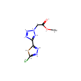 CC(C)(C)OC(=O)Cn1nnc(-c2nnc(Br)s2)n1